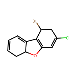 ClC1=CC2=C(C3=CC=CCC3O2)C(Br)C1